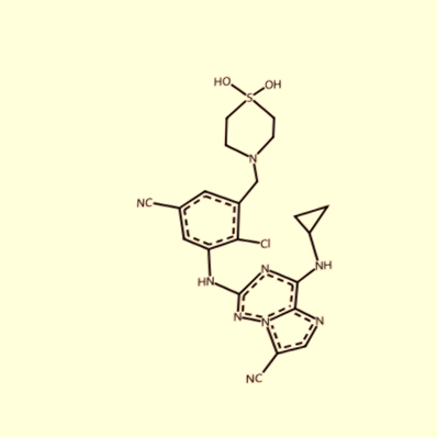 N#Cc1cc(CN2CCS(O)(O)CC2)c(Cl)c(Nc2nc(NC3CC3)c3ncc(C#N)n3n2)c1